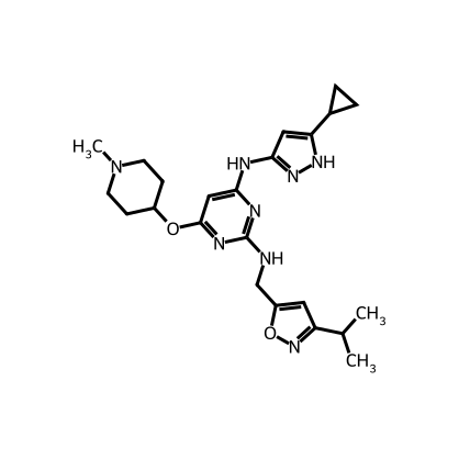 CC(C)c1cc(CNc2nc(Nc3cc(C4CC4)[nH]n3)cc(OC3CCN(C)CC3)n2)on1